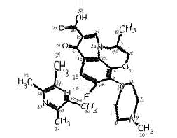 C[C@H]1COc2c(N3CCN(C)CC3)c(F)cc3c(=O)c(C(=O)O)cn1c23.Cc1nc(C)c(C)nc1C